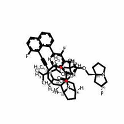 CC(C)[Si](C#Cc1c(F)ccc2cccc(-c3nc4c5c(nc(OC[C@@]67CCCN6C[C@H](F)C7)nc5c3F)N3C[C@H]5CC[C@@H]([C@H]3CC[C@@H]4C)N5C(=O)OC(C)(C)C)c12)(C(C)C)C(C)C